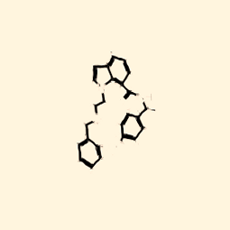 C[C@H](NC(=O)c1cccc2ccn(CCOCc3ccccc3)c12)c1ccc(C(=O)O)cc1